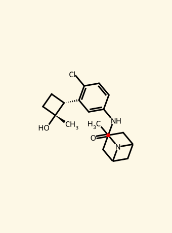 CC1CC2CC(C1)N2C(=O)Nc1ccc(Cl)c([C@H]2CC[C@@]2(C)O)c1